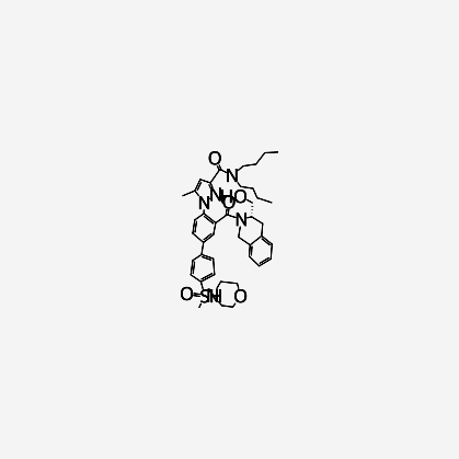 CCCCN(CCCC)C(=O)c1cc(C)n(-c2ccc(-c3ccc([SH](C)(=O)N4CCOCC4)cc3)cc2C(=O)N2Cc3ccccc3C[C@H]2CO)n1